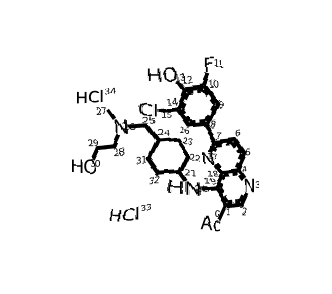 CC(=O)c1cnc2ccc(-c3cc(F)c(O)c(Cl)c3)nc2c1NC1CCC(CN(C)CCO)CC1.Cl.Cl